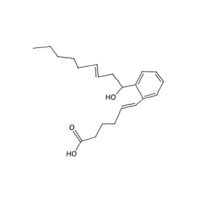 CCCCCC=CCC(O)c1ccccc1C=CCCCC(=O)O